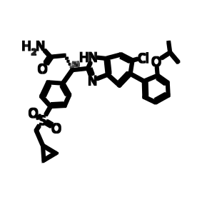 CC(C)Oc1ccccc1-c1cc2nc([C@@H](CC(N)=O)c3ccc(S(=O)(=O)CC4CC4)cc3)[nH]c2cc1Cl